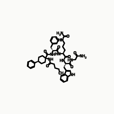 CCCCC(=O)N[C@]1(C(=O)N[C@H](Cc2ccccc2)C(=O)N[C@@H](CCCNC(N)=O)C(=O)N[C@@H](Cc2c[nH]c3ccccc23)C(=O)NCC(N)=O)CC[C@H](c2ccccc2)CC1